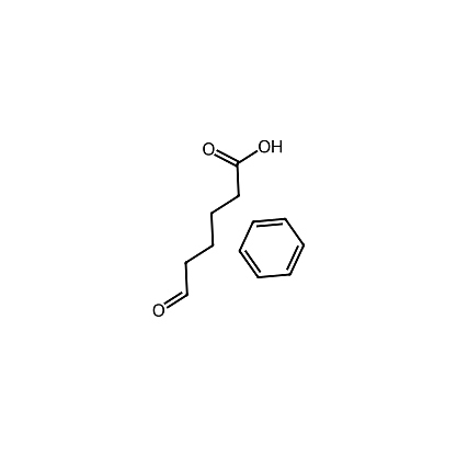 O=CCCCCC(=O)O.c1ccccc1